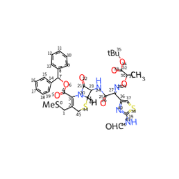 CSCC1=C(C(=O)OC(c2ccccc2)c2ccccc2)N2C(=O)C(NC(=O)C(=NOC(C)C(=O)OC(C)(C)C)c3csc(NC=O)n3)[C@@H]2SC1